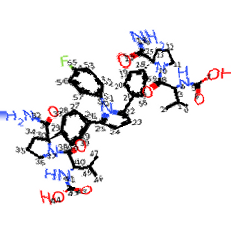 CC(C)[C@H](NC(=O)O)C(=O)N1CCC[C@@]1(C(N)=O)c1ccc(-c2ccc(-c3ccc([C@]4(C(N)=O)CCCN4C(=O)[C@@H](NC(=O)O)C(C)C)cc3)n2-c2ccc(F)cc2)cc1